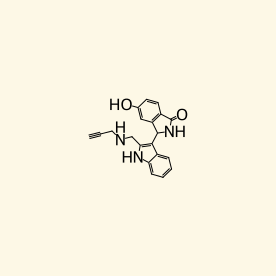 C#CCNCc1[nH]c2ccccc2c1C1NC(=O)c2ccc(O)cc21